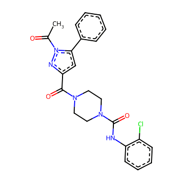 CC(=O)n1nc(C(=O)N2CCN(C(=O)Nc3ccccc3Cl)CC2)cc1-c1ccccc1